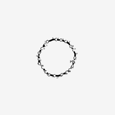 C1COCCOCCOCCONOCCOCCOCCOCCO1